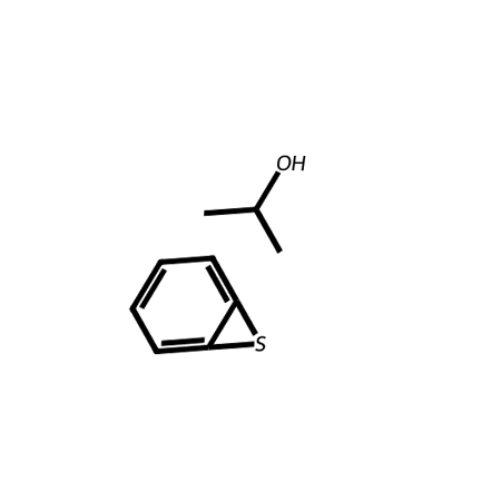 CC(C)O.c1ccc2c(c1)S2